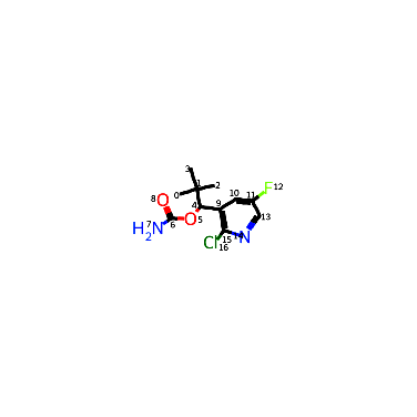 CC(C)(C)C(OC(N)=O)c1cc(F)cnc1Cl